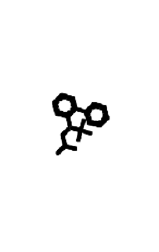 CC(C)CP(c1ccccc1-c1ccccc1)C(C)(C)C